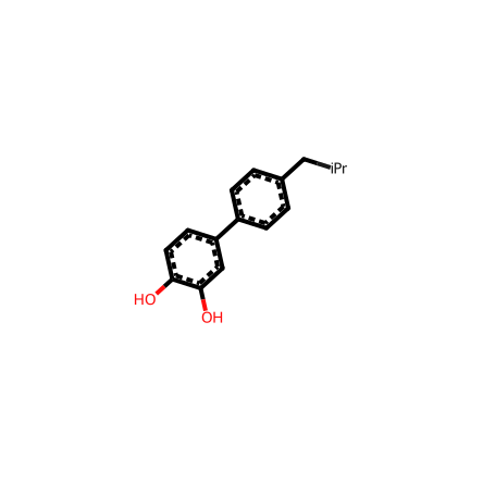 CC(C)Cc1ccc(-c2ccc(O)c(O)c2)cc1